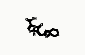 O=C(O)C1=CS[C@@H]2C(=Cc3cc4n(n3)CSCC4)C(=O)N12